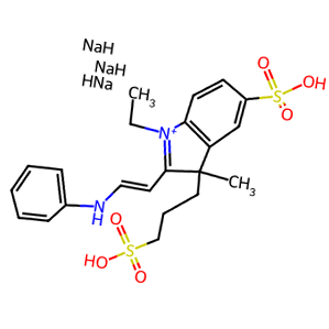 CC[N+]1=C(/C=C/Nc2ccccc2)C(C)(CCCS(=O)(=O)O)c2cc(S(=O)(=O)O)ccc21.[NaH].[NaH].[NaH]